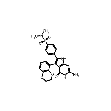 CN(C)S(=O)(=O)c1ccc(-c2[nH]c3nc(N)[nH]c(=O)c3c2-c2cccc3c2OCCO3)cc1